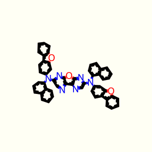 c1ccc2c(N(c3ccc4c(c3)oc3ccccc34)c3cnc4c(n3)oc3nc(N(c5ccc6c(c5)oc5ccccc56)c5cccc6ccccc56)cnc34)cccc2c1